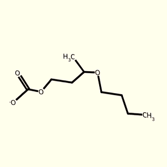 CCCCOC(C)CCOC([O])=O